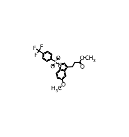 COC(=O)CCc1cn(S(=O)(=O)c2ccc(C(F)(F)F)cc2)c2ccc(OC)cc12